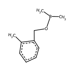 CB(C)OCc1ccccc1C